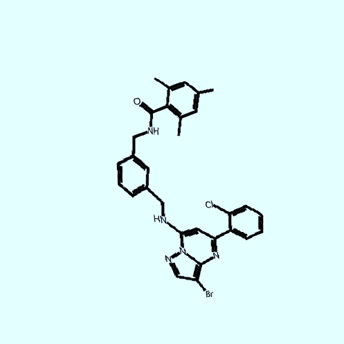 Cc1cc(C)c(C(=O)NCc2cccc(CNc3cc(-c4ccccc4Cl)nc4c(Br)cnn34)c2)c(C)c1